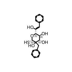 OC(=Cc1ccccc1)[C@H]1O[C@@H](S)[C@@](O)(Cc2ccccc2)[C@@H](O)[C@@H]1O